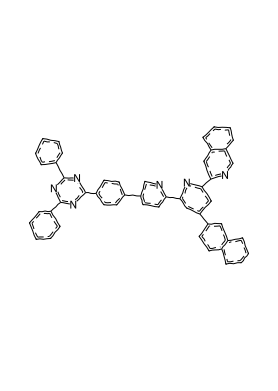 c1ccc(-c2nc(-c3ccccc3)nc(-c3ccc(-c4ccc(-c5cc(-c6ccc7ccccc7c6)cc(-c6cc7ccccc7cn6)n5)nc4)cc3)n2)cc1